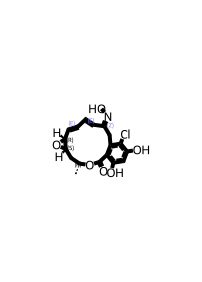 C[C@@H]1C[C@@H]2O[C@@H]2/C=C/C=C/C(=N\O)Cc2c(Cl)c(O)cc(O)c2C(=O)O1